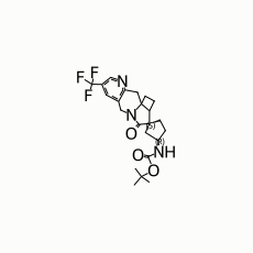 CC(C)(C)OC(=O)N[C@@H]1CC[C@@]2(C1)C(=O)N1Cc3cc(C(F)(F)F)cnc3CC13CCC32